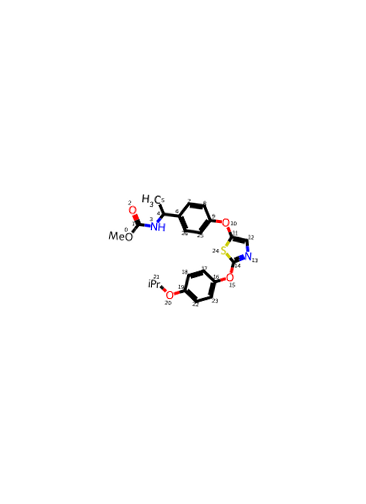 COC(=O)NC(C)c1ccc(Oc2cnc(Oc3ccc(OC(C)C)cc3)s2)cc1